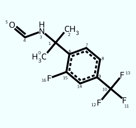 CC(C)(NC=O)c1ccc(C(F)(F)F)cc1F